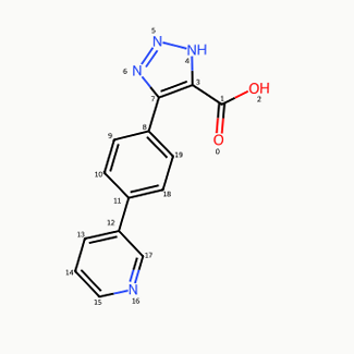 O=C(O)c1[nH]nnc1-c1ccc(-c2cccnc2)cc1